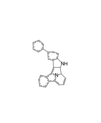 C1=CC2C3Nc4ccc(-c5ccccc5)cc4C3=c3c4ccccc4c(n32)=C1